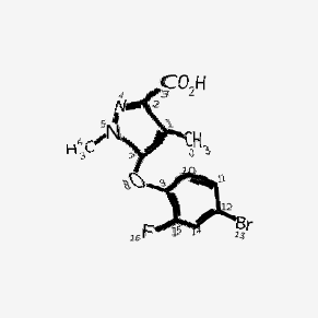 Cc1c(C(=O)O)nn(C)c1Oc1ccc(Br)cc1F